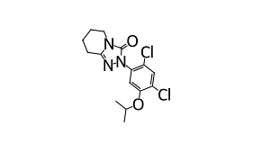 CC(C)Oc1cc(-n2nc3n(c2=O)CCCC3)c(Cl)cc1Cl